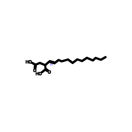 CCCCCCCCCCC/C=C/C(CC(=O)O)C(=O)O